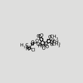 COc1cc([C@@H]2c3cc4c(cc3[C@H](OC(=O)c3cc(-c5c(Cl)cnn5C)co3)[C@H]3COC(=O)[C@@H]23)OCO4)cc(OC)c1OC